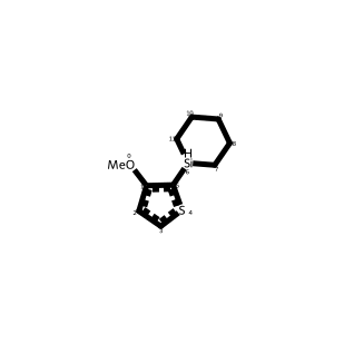 COc1ccsc1[SiH]1CCCCC1